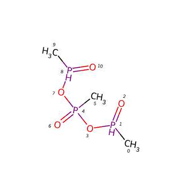 C[PH](=O)OP(C)(=O)O[PH](C)=O